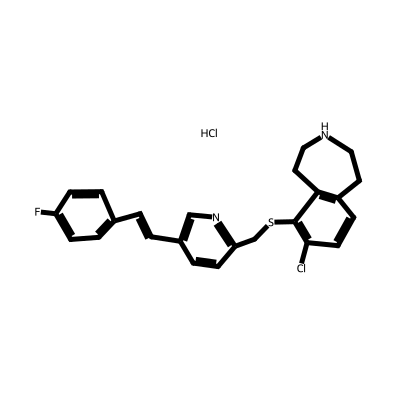 Cl.Fc1ccc(C=Cc2ccc(CSc3c(Cl)ccc4c3CCNCC4)nc2)cc1